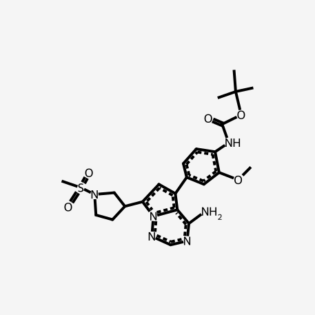 COc1cc(-c2cc(C3CCN(S(C)(=O)=O)C3)n3ncnc(N)c23)ccc1NC(=O)OC(C)(C)C